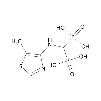 Cc1scnc1NC(P(=O)(O)O)P(=O)(O)O